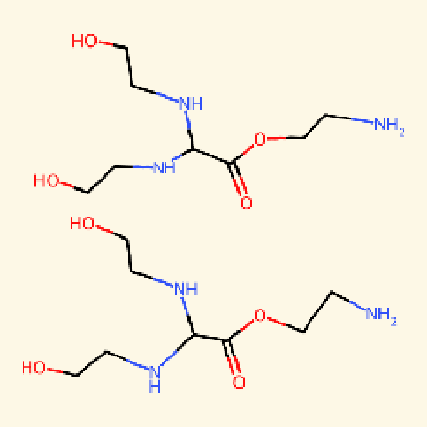 NCCOC(=O)C(NCCO)NCCO.NCCOC(=O)C(NCCO)NCCO